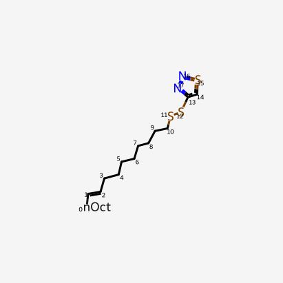 CCCCCCCCC=CCCCCCCCCSSc1csnn1